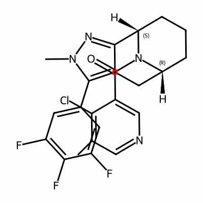 Cc1cncc(C(=O)N2[C@@H]3CCC[C@H]2c2nn(C)c(-c4cc(F)c(F)c(F)c4)c2C3)c1Cl